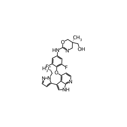 CCn1nccc1-c1c[nH]c2nccc(Oc3c(F)cc(NC4=NC[C@](C)(CO)CO4)cc3F)c12